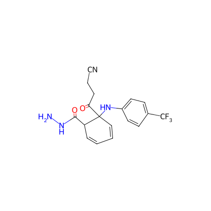 N#CCCC(=O)C1(Nc2ccc(C(F)(F)F)cc2)C=CC=CC1C(=O)NN